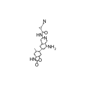 Cc1cc2[nH]c(=O)oc2cc1-c1cc(N)c2cnc(NC(=O)C3CC3C#N)cc2c1